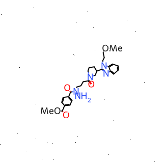 COCCCn1c(C2CCCN(C(=O)CCCN(N)C(=O)c3ccc(C(=O)OC)cc3)C2)nc2ccccc21